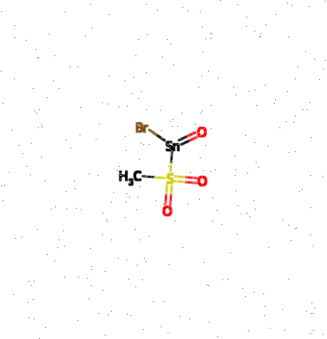 C[S](=O)(=O)[Sn](=[O])[Br]